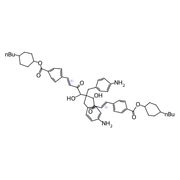 CCCCC1CCC(OC(=O)c2ccc(/C=C/C(=O)C(O)C(Cc3ccc(N)cc3)(Cc3ccc(N)cc3)C(O)C(=O)/C=C/c3ccc(C(=O)OC4CCC(CCCC)CC4)cc3)cc2)CC1